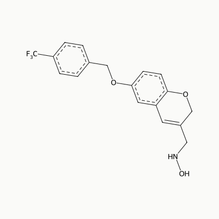 ONCC1=Cc2cc(OCc3ccc(C(F)(F)F)cc3)ccc2OC1